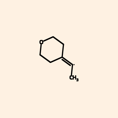 C[C]=C1CCOCC1